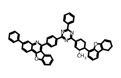 C[C@@H]1C=C(c2nc(-c3ccccc3)nc(-c3ccc(-c4nc5cc(-c6ccccc6)ccc5c5oc6ccccc6c45)cc3)n2)CCC1c1cccc2c3c(oc12)C=CCC3